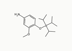 COc1cc(N)ccc1O[Si](C(C)C)(C(C)C)C(C)C